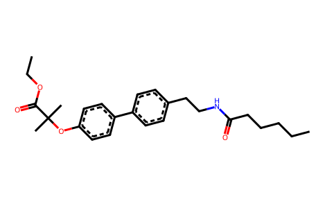 CCCCCC(=O)NCCc1ccc(-c2ccc(OC(C)(C)C(=O)OCC)cc2)cc1